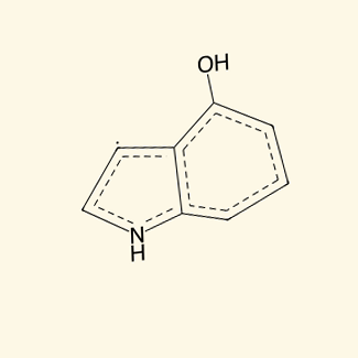 Oc1cccc2[nH]c[c]c12